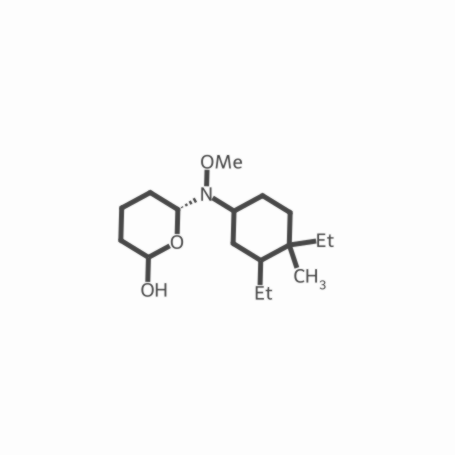 CCC1CC(N(OC)[C@H]2CCCC(O)O2)CCC1(C)CC